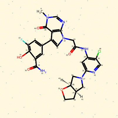 Cn1cnc2c(c(-c3cc(F)c(O)c(C(N)=O)c3)cn2CC(=O)Nc2cc(N3C[C@H]4CCO[C@H]4C3)ncc2Cl)c1=O